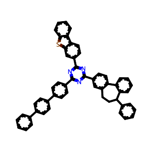 c1ccc(-c2ccc(-c3ccc(-c4nc(-c5ccc6c(c5)CCC(c5ccccc5)c5ccccc5-6)nc(-c5ccc6c(c5)sc5ccccc56)n4)cc3)cc2)cc1